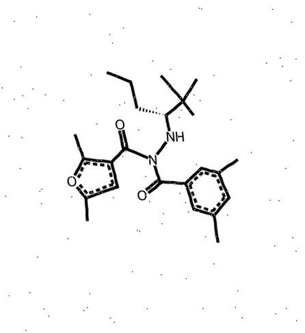 CCC[C@@H](NN(C(=O)c1cc(C)cc(C)c1)C(=O)c1cc(C)oc1C)C(C)(C)C